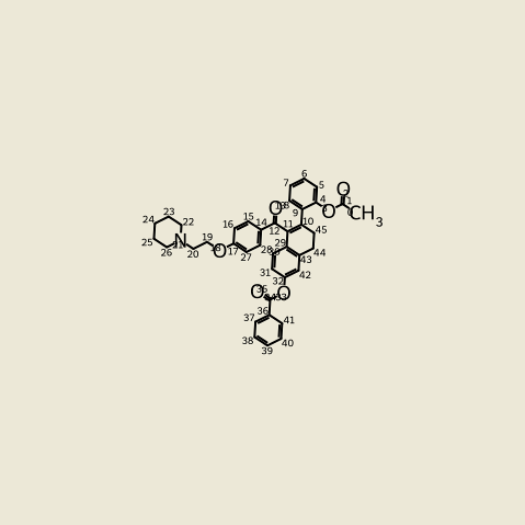 CC(=O)Oc1ccccc1C1=C(C(=O)c2ccc(OCCN3CCCCC3)cc2)c2ccc(OC(=O)c3ccccc3)cc2CC1